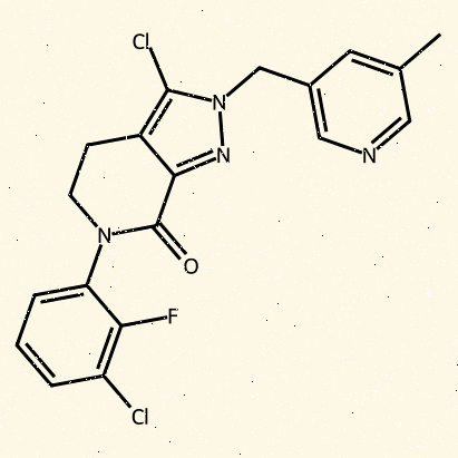 Cc1cncc(Cn2nc3c(c2Cl)CCN(c2cccc(Cl)c2F)C3=O)c1